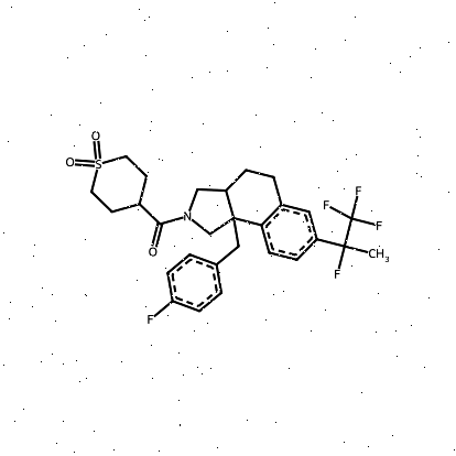 CC(F)(c1ccc2c(c1)CCC1CN(C(=O)C3CCS(=O)(=O)CC3)CC21Cc1ccc(F)cc1)C(F)(F)F